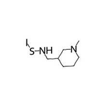 CN1CCCC(CNSI)C1